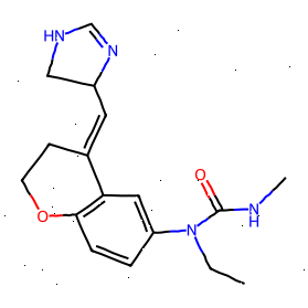 CCN(C(=O)NC)c1ccc2c(c1)/C(=C/C1CNC=N1)CCO2